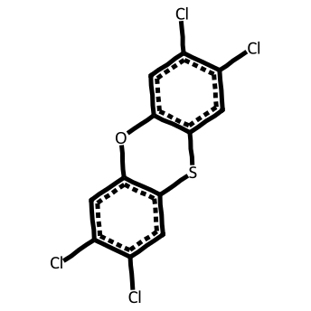 Clc1cc2c(cc1Cl)Sc1cc(Cl)c(Cl)cc1O2